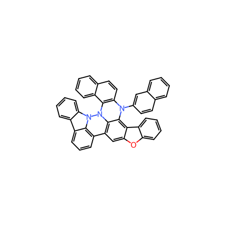 c1ccc2cc(-n3c4ccc5ccccc5c4n4n5c6ccccc6c6cccc(c7cc8oc9ccccc9c8c3c7-4)c65)ccc2c1